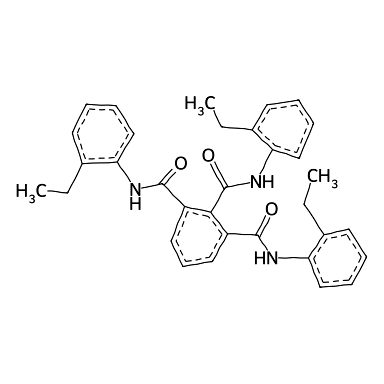 CCc1ccccc1NC(=O)c1cccc(C(=O)Nc2ccccc2CC)c1C(=O)Nc1ccccc1CC